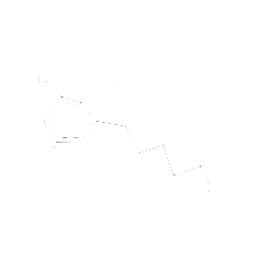 CCCCCCc1cccc(Br)c1F